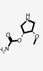 CO[C@H]1CNC[C@H]1OC(N)=O